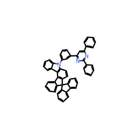 c1ccc(-c2cc(-c3cccc(-n4c5ccccc5c5c6c(ccc54)C4(c5ccccc5-c5ccccc54)c4ccccc4-6)c3)nc(-c3ccccc3)n2)cc1